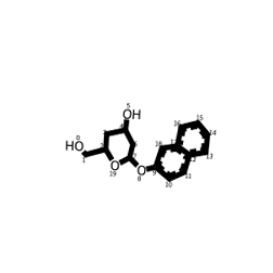 OCC1CC(O)CC(Oc2ccc3ccccc3c2)O1